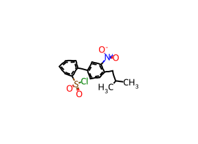 CC(C)Cc1ccc(-c2ccccc2S(=O)(=O)Cl)cc1[N+](=O)[O-]